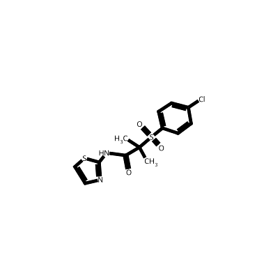 CC(C)(C(=O)Nc1nccs1)S(=O)(=O)c1ccc(Cl)cc1